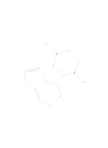 O=C1C=CC(=O)C=C1.c1ccc2occc2c1